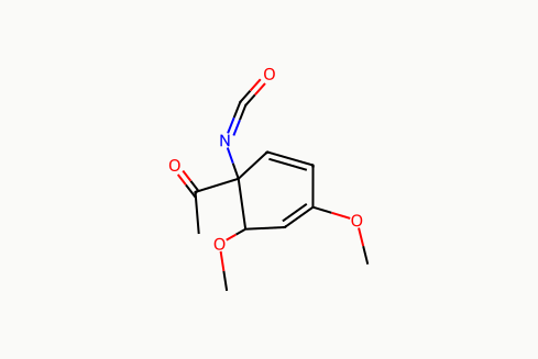 COC1=CC(OC)C(N=C=O)(C(C)=O)C=C1